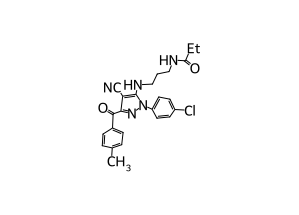 CCC(=O)NCCCNc1c(C#N)c(C(=O)c2ccc(C)cc2)nn1-c1ccc(Cl)cc1